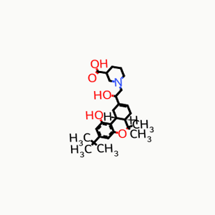 CC(C)(C)c1cc(O)c2c(c1)OC(C)(C)[C@@H]1CC=C(C(O)CN3CCCC(C(=O)O)C3)C[C@@H]21